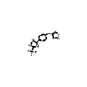 FC(F)(F)c1nc(-c2ccc(Cc3cnoc3)cc2)no1